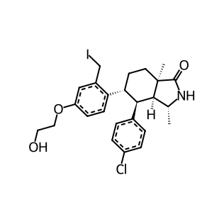 C[C@H]1NC(=O)[C@]2(C)CC[C@@H](c3ccc(OCCO)cc3CI)[C@H](c3ccc(Cl)cc3)[C@H]12